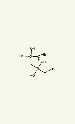 Br.CC(C)C[Si](O)(O)C[Si](O)(O)O